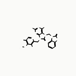 COc1c(C)cnc(Cn2c(=O)n(Cn3c(=O)sc4ccccc43)c3c(Cl)nc(N)nc32)c1C